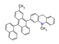 Cc1ccc2c(-c3cccc4ccccc34)c3ccccc3c(-c3ccc4c(c3)N(C)c3ccccc3C4)c2c1